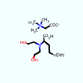 CCCCCCCCCCCCC(N(CCO)CCO)S(=O)(=O)O.C[N+](C)(C)CC(=O)[O-]